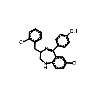 Oc1ccc(C2=NC(Cc3ccccc3Cl)CNc3ccc(Cl)cc32)cc1